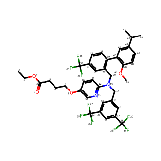 CCOC(=O)CCCOc1ccc(N(Cc2cc(C(F)(F)F)cc(C(F)(F)F)c2)Cc2cc(C(F)(F)F)ccc2-c2cc(C(C)C)ccc2OC)nc1